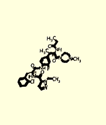 CCC(=O)N[C@@H](C(=O)N1CCN(C)CC1)[C@@H](C)c1ccc(NC(=O)[C@H](Cc2ccccc2Cl)NC(=O)c2ccnn2CC)c(F)c1